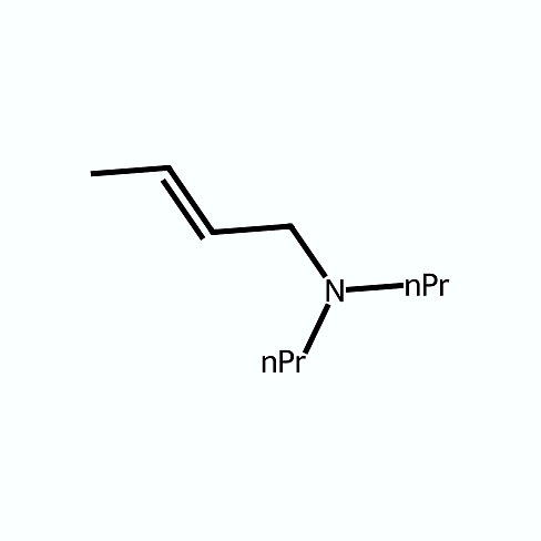 C/C=C/CN(CCC)CCC